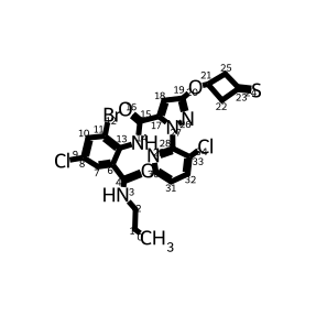 CCCNC(=O)c1cc(Cl)cc(Br)c1NC(=O)c1cc(OC2CC(=S)C2)nn1-c1ncccc1Cl